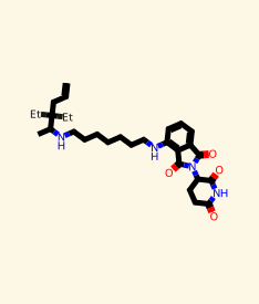 C=CCC(CC)(CC)C(C)NCCCCCCCNc1cccc2c1C(=O)N(C1CCC(=O)NC1=O)C2=O